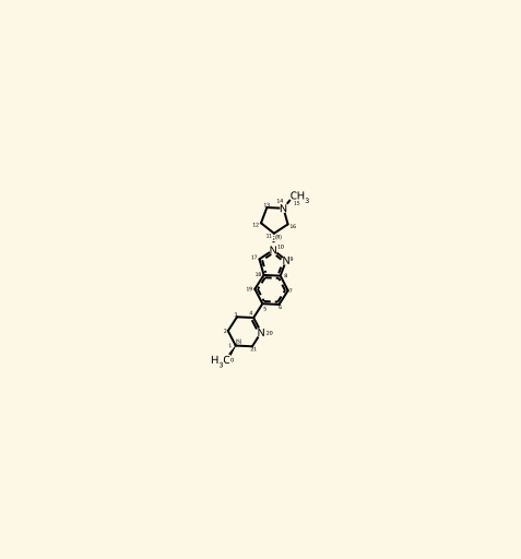 C[C@H]1CCC(c2ccc3nn([C@@H]4CCN(C)C4)cc3c2)=NC1